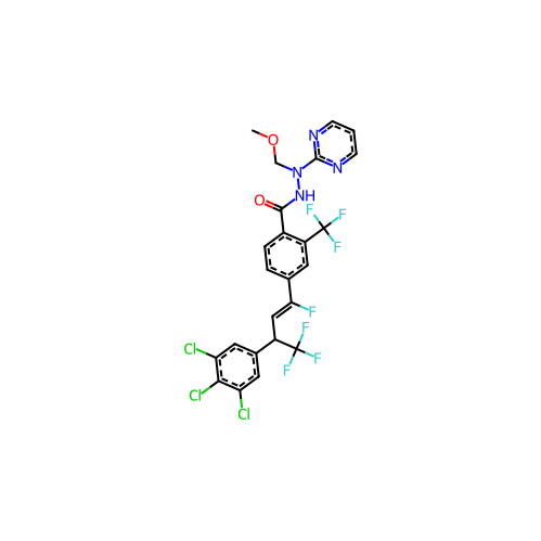 COCN(NC(=O)c1ccc(C(F)=CC(c2cc(Cl)c(Cl)c(Cl)c2)C(F)(F)F)cc1C(F)(F)F)c1ncccn1